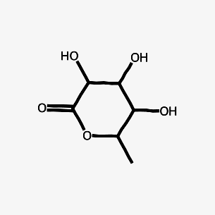 CC1OC(=O)C(O)C(O)C1O